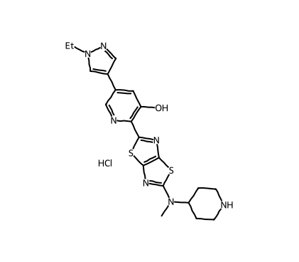 CCn1cc(-c2cnc(-c3nc4sc(N(C)C5CCNCC5)nc4s3)c(O)c2)cn1.Cl